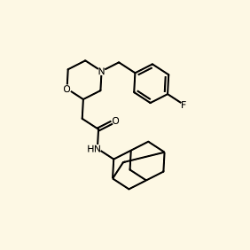 O=C(CC1CN(Cc2ccc(F)cc2)CCO1)NC1C2CC3CC(C2)CC1C3